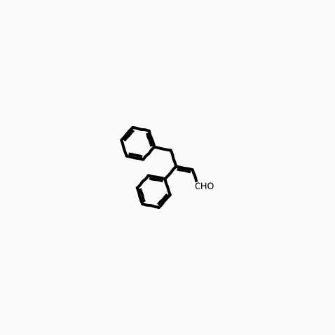 O=CC=C(Cc1ccccc1)c1ccccc1